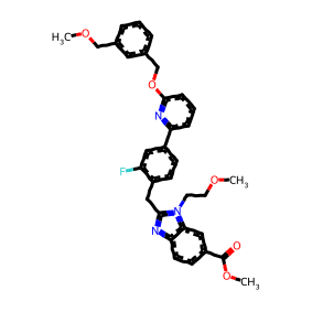 COCCn1c(Cc2ccc(-c3cccc(OCc4cccc(COC)c4)n3)cc2F)nc2ccc(C(=O)OC)cc21